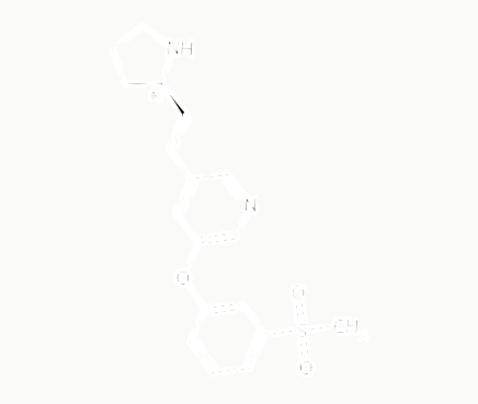 CS(=O)(=O)c1cccc(Oc2cncc(C=C[C@H]3CCCN3)c2)c1